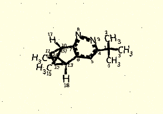 CC(C)(C)c1cc2c(nn1)[C@H]1CC[C@@H]2C1(C)C